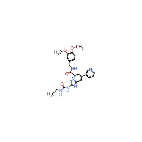 CCNC(=O)Nc1nc2cc(-c3cccnc3)cc(C(=O)NCc3ccc(OC)c(OC)c3)n2n1